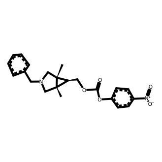 C[C@@]12CN(Cc3ccccc3)C[C@]1(C)[C@H]2COC(=O)Oc1ccc([N+](=O)[O-])cc1